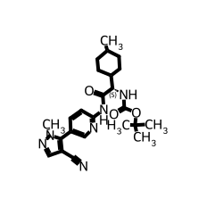 CC1CCC([C@H](NC(=O)OC(C)(C)C)C(=O)Nc2ccc(-c3c(C#N)cnn3C)cn2)CC1